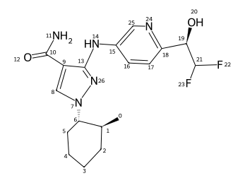 C[C@H]1CCCC[C@@H]1n1cc(C(N)=O)c(Nc2ccc([C@@H](O)C(F)F)nc2)n1